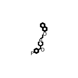 O=C(c1ccc(F)cc1)C1CCN(CCCOc2ccc3ccccc3c2)CC1